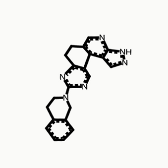 c1ccc2c(c1)CCN(c1ncc3c(n1)CCc1cnc4[nH]ncc4c1-3)C2